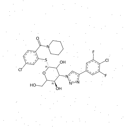 O=C(c1ccc(Cl)cc1S[C@H]1OC(CO)[C@H](O)C(n2cc(-c3cc(F)c(Cl)c(F)c3)nn2)C1O)N1CCCCC1